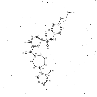 CCCCc1ccc(NS(=O)(=O)c2ccc(C)c(C(=O)N3CCCN(c4ccccc4F)CC3)c2)cc1